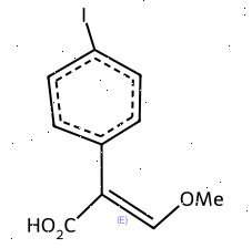 CO/C=C(/C(=O)O)c1ccc(I)cc1